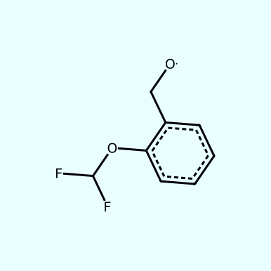 [O]Cc1ccccc1OC(F)F